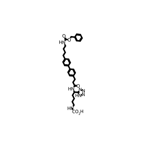 O=C(O)NCCCCC(NC(=O)CCc1ccc(-c2ccc(CCCCNC(=O)OCc3ccccc3)cc2)cc1)c1nnn[nH]1